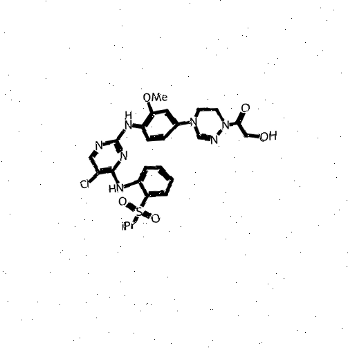 COc1cc(N2C=NN(C(=O)CO)CC2)ccc1Nc1ncc(Cl)c(Nc2ccccc2S(=O)(=O)C(C)C)n1